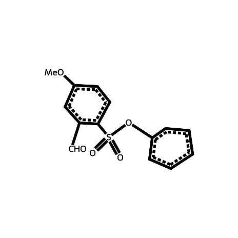 COc1ccc(S(=O)(=O)Oc2ccccc2)c(C=O)c1